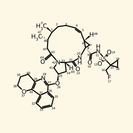 C[C@H]1CC/C=C\[C@@H]2C[C@@]2(C(=O)NS(=O)(=O)C2(CF)CC2)NC(=O)[C@@H]2C[C@@H](Oc3nc4c(c5ccccc35)OCCC4)CN2C(=O)C[C@@H]1C